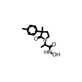 Cc1ccc(C2(C)CCN(C(C)C(=O)NO)C2=O)cc1